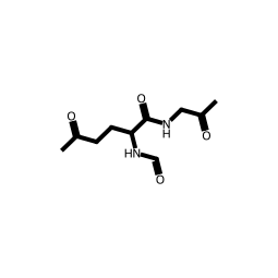 CC(=O)CCC(NC=O)C(=O)NCC(C)=O